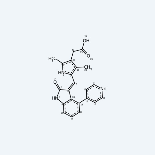 Cc1[nH]c(C=C2C(=O)Nc3cccc(-c4ccncc4)c32)c(C)c1CC(=O)O